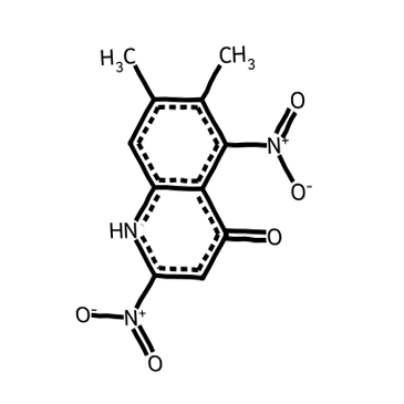 Cc1cc2[nH]c([N+](=O)[O-])cc(=O)c2c([N+](=O)[O-])c1C